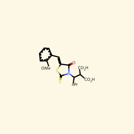 CCCC(C(C(=O)O)C(=O)O)N1C(=O)C(=Cc2ccccc2OC)SC1=S